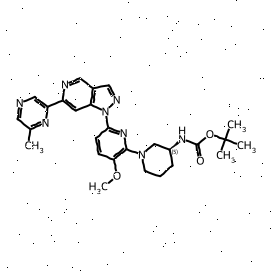 COc1ccc(-n2ncc3cnc(-c4cncc(C)n4)cc32)nc1N1CCC[C@H](NC(=O)OC(C)(C)C)C1